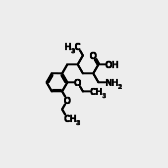 CCOc1cccc(CC(CC)CC(CN)C(=O)O)c1OCC